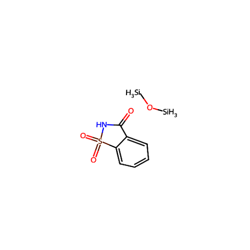 O=C1NS(=O)(=O)c2ccccc21.[SiH3]O[SiH3]